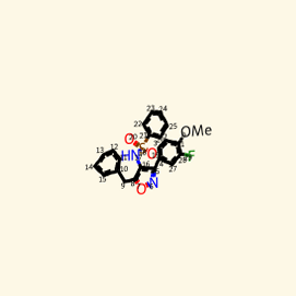 COc1ccc(-c2noc(Cc3ccccc3)c2NS(=O)(=O)c2ccccc2)cc1F